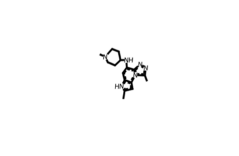 Cc1cc2c(cc(NC3CCN(C)CC3)c3nnc(C)n32)[nH]1